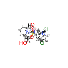 O=C1[C@@H]2CCC[C@H]([C@@H](CO)CN1Cc1ccccn1)N2S(=O)(=O)c1cc(Cl)cc(Cl)c1